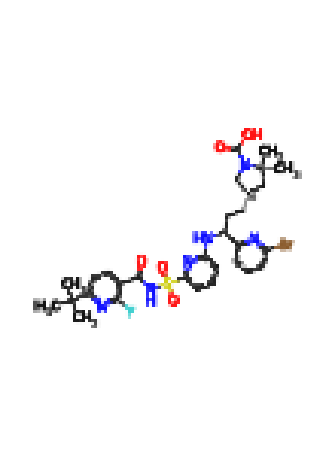 CC(C)(C)c1ccc(C(=O)NS(=O)(=O)c2cccc(NC(CC[C@@H]3CN(C(=O)O)C(C)(C)C3)c3cccc(Br)n3)n2)c(F)n1